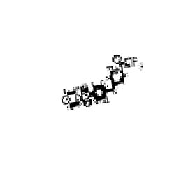 O=C(N1CCC(Cc2ccc(S(=O)(=O)N3CCOCC3)cc2)CC1)C(F)(F)F